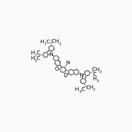 CC(C)c1ccc2c(c1)c1cc(C(C)C)ccc1n2-c1ccc2cc3c(cc2c1)oc1cc2oc4cc5cc(-n6c7ccc(C(C)C)cc7c7cc(C(C)C)ccc76)ccc5cc4c2c(C#N)c13